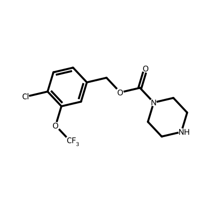 O=C(OCc1ccc(Cl)c(OC(F)(F)F)c1)N1CCNCC1